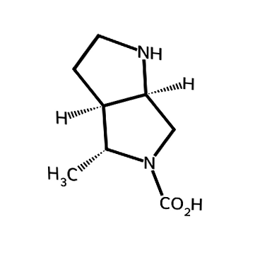 C[C@@H]1[C@H]2CCN[C@H]2CN1C(=O)O